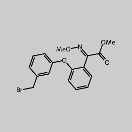 CO/N=C(/C(=O)OC)c1ccccc1Oc1cccc(CBr)c1